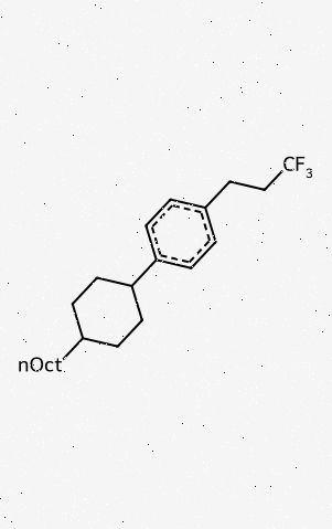 CCCCCCCCC1CCC(c2ccc(CCC(F)(F)F)cc2)CC1